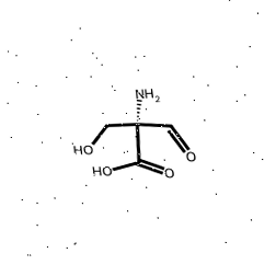 N[C@@](C=O)(CO)C(=O)O